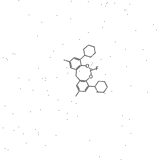 Cc1cc2c(c(C3CCCCC3)c1)OP(F)Oc1c(cc(C)cc1C1CCCCC1)C2